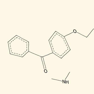 CCOc1ccc(C(=O)c2ccccc2)cc1.CNC